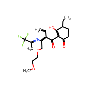 C=C/C(C(=O)C1=C(O)C(CC)CCC1=O)=C(COCCOC)\N=C(/C)C(F)(F)F